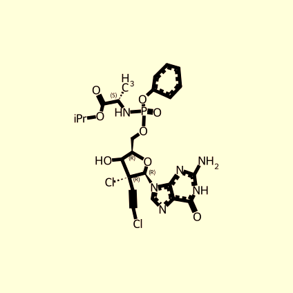 CC(C)OC(=O)[C@H](C)NP(=O)(OC[C@H]1O[C@@H](n2cnc3c(=O)[nH]c(N)nc32)[C@@](Cl)(C#CCl)C1O)Oc1ccccc1